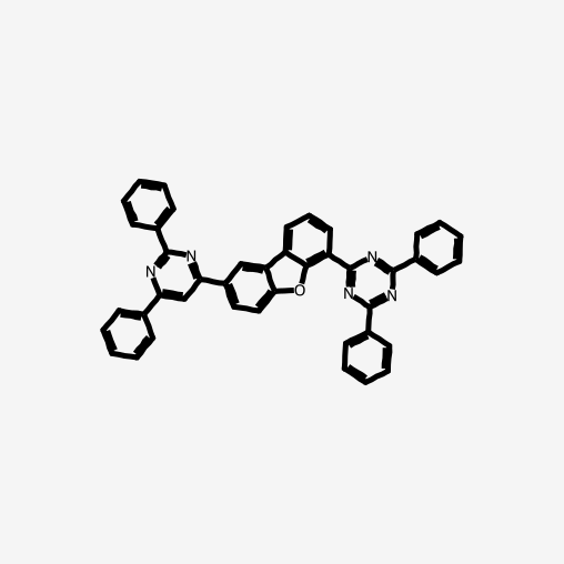 c1ccc(-c2cc(-c3ccc4oc5c(-c6nc(-c7ccccc7)nc(-c7ccccc7)n6)cccc5c4c3)nc(-c3ccccc3)n2)cc1